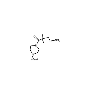 CCCCCN1CCN(C(=O)C(C)(C)CO[N+](=O)[O-])CC1